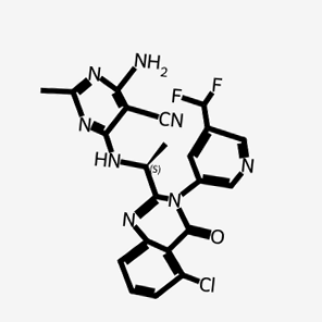 Cc1nc(N)c(C#N)c(N[C@@H](C)c2nc3cccc(Cl)c3c(=O)n2-c2cncc(C(F)F)c2)n1